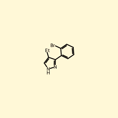 CCc1c[nH]nc1-c1ccccc1Br